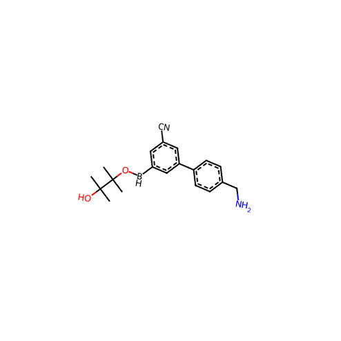 CC(C)(O)C(C)(C)OBc1cc(C#N)cc(-c2ccc(CN)cc2)c1